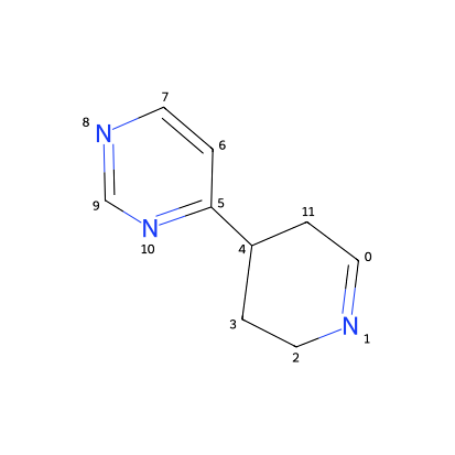 C1=NCCC(c2ccncn2)C1